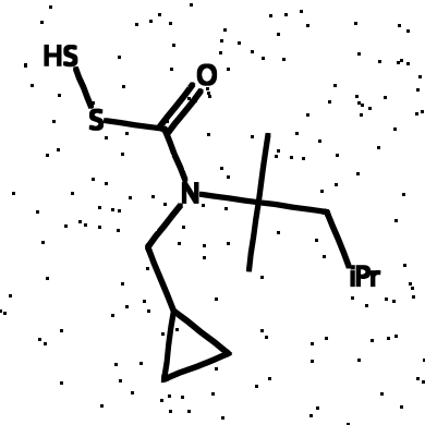 CC(C)CC(C)(C)N(CC1CC1)C(=O)SS